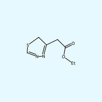 CCOC(=O)CC1=NN=CSC1